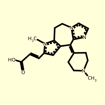 CN1CCC(=C2c3cc(C=CC(=O)O)n(C)c3CCn3ccnc32)CC1